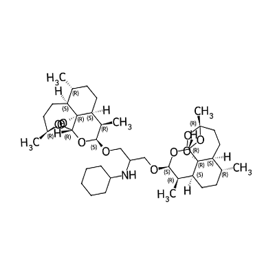 C[C@H]1[C@@H](OCC(CO[C@H]2O[C@@H]3O[C@@]4(C)CC[C@H]5[C@H](C)CC[C@@H]([C@H]2C)[C@@]35OO4)NC2CCCCC2)O[C@@H]2O[C@@]3(C)CC[C@H]4[C@H](C)CC[C@@H]1[C@@]24OO3